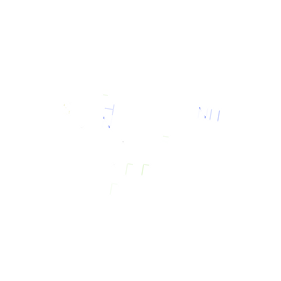 Nc1ccc(F)c(C2(C(F)F)NC(=S)CCC2(F)F)c1